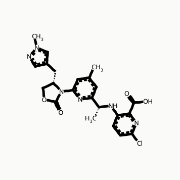 Cc1cc([C@@H](C)Nc2ccc(Cl)nc2C(=O)O)nc(N2C(=O)OC[C@@H]2Cc2cnn(C)c2)c1